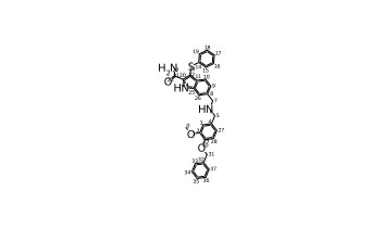 COc1cc(CNCc2ccc3c(Sc4ccccc4)c(C(N)=O)[nH]c3c2)ccc1OCc1ccccc1